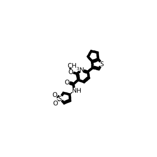 COc1nc(-c2csc3c2CCC3)ccc1C(=O)N[C@@H]1C=CS(=O)(=O)C1